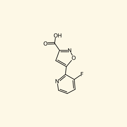 O=C(O)c1cc(-c2ncccc2F)on1